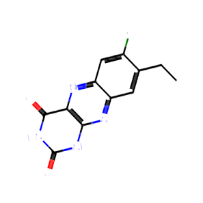 CCc1cc2nc3[nH]c(=O)[nH]c(=O)c3nc2cc1Cl